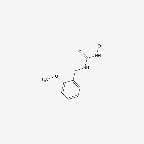 CCNC(=O)NCc1ccccc1OC(F)(F)F